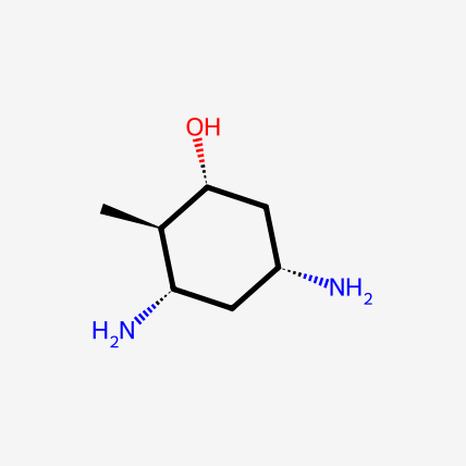 C[C@H]1[C@H](O)C[C@H](N)C[C@@H]1N